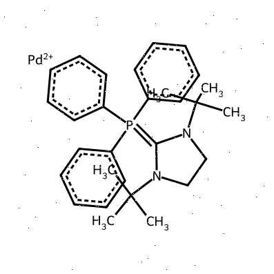 CC(C)(C)N1CCN(C(C)(C)C)C1=P(c1ccccc1)(c1ccccc1)c1ccccc1.[Pd+2]